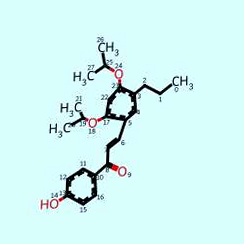 CCCc1cc(/C=C/C(=O)c2ccc(O)cc2)c(OC(C)C)cc1OC(C)C